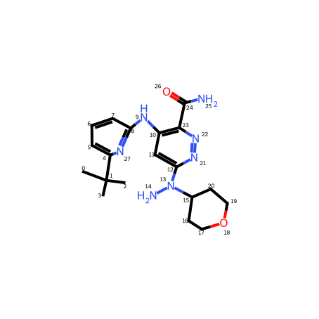 CC(C)(C)c1cccc(Nc2cc(N(N)C3CCOCC3)nnc2C(N)=O)n1